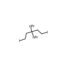 CCCC(CCC)(CCI)CCI